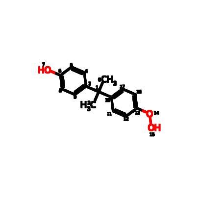 CC(C)(c1ccc(O)cc1)c1ccc(OO)cc1